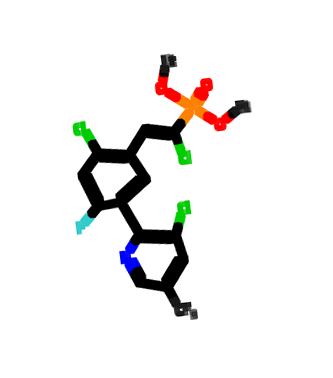 CCOP(=O)(OCC)C(Cl)=Cc1cc(-c2ncc(C(F)(F)F)cc2Cl)c(F)cc1Cl